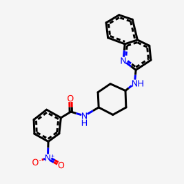 O=C(NC1CCC(Nc2ccc3ccccc3n2)CC1)c1cccc([N+](=O)[O-])c1